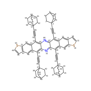 C(#CC12CCC(CC1)CC2)c1c2cc3ccsc3cc2c(C#CC23CCC(CC2)CC3)c2nc3c(C#CC45CCC(CC4)CC5)c4cc5ccsc5cc4c(C#CC45CCC(CC4)CC5)c3nc12